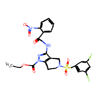 CCOC(=O)n1nc(NC(=O)c2ccccc2[N+](=O)[O-])c2c1CCN(S(=O)(=O)c1cc(F)cc(F)c1)C2